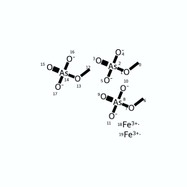 CO[As](=O)([O-])[O-].CO[As](=O)([O-])[O-].CO[As](=O)([O-])[O-].[Fe+3].[Fe+3]